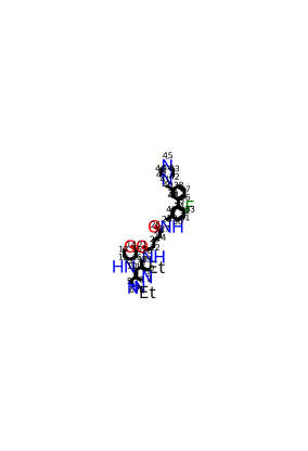 CCc1nc2c(cnn2CC)c(NC2CCOCC2)c1CNC(=O)CCCC(=O)NCc1ccc(F)c(-c2cccc(CN3CCN(C)CC3)c2)c1